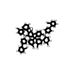 Cc1ccc(N(c2ccc(-c3ccccc3C)cc2)c2cc3c(c4oc5ccccc5c24)-c2ccc(N(C4=CCC(C)C=C4)c4ccc(-c5ccccc5C)cc4)cc2C3(c2cccc(C)c2)c2cccc(C)c2)cc1